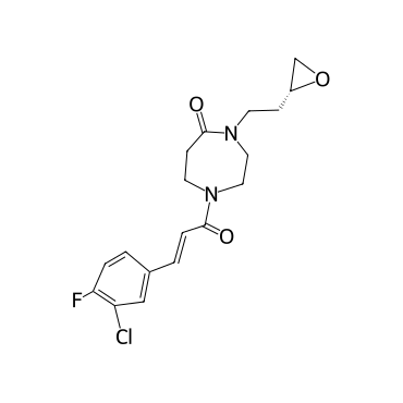 O=C(/C=C/c1ccc(F)c(Cl)c1)N1CCC(=O)N(CC[C@@H]2CO2)CC1